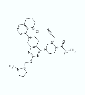 C[C@H](F)C(=O)N1CCN(c2nc(OC[C@@H]3CCCN3C)nc3c2CCN(c2cccc4c2[C@@H](Cl)CCC4)C3)C[C@@H]1CC#N